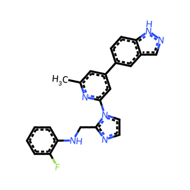 Cc1cc(-c2ccc3[nH]ncc3c2)cc(-n2ccnc2CNc2ccccc2F)n1